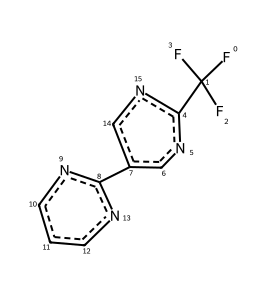 FC(F)(F)c1ncc(-c2ncccn2)cn1